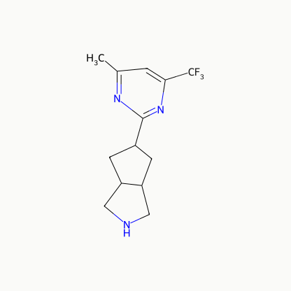 Cc1cc(C(F)(F)F)nc(C2CC3CNCC3C2)n1